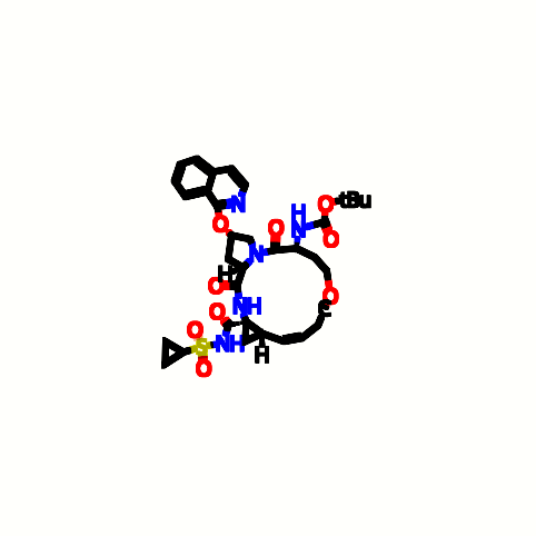 CC(C)(C)OC(=O)N[C@H]1CCOCC/C=C\[C@@H]2C[C@@]2(C(=O)NS(=O)(=O)C2CC2)NC(=O)[C@@H]2CC(Oc3nccc4ccccc34)CN2C1=O